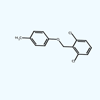 [CH2]c1ccc(OCc2c(Cl)cccc2Cl)cc1